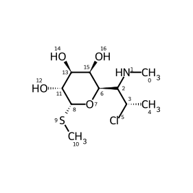 CNC([C@H](C)Cl)[C@H]1O[C@H](SC)[C@H](O)[C@@H](O)[C@H]1O